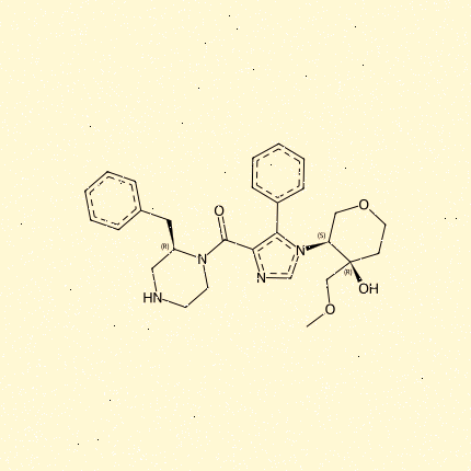 COC[C@@]1(O)CCOC[C@@H]1n1cnc(C(=O)N2CCNC[C@H]2Cc2ccccc2)c1-c1ccccc1